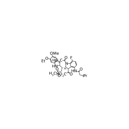 CCOc1cc2c(cc1OC)CC(C(CS(C)(=O)=O)[C@H]1C(C(=O)C(=O)O)c3c(NC(=O)CC(C)C)ccc(F)c3N1C(=O)C(=O)O)N2